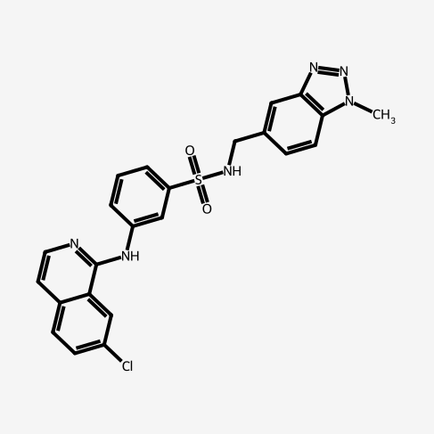 Cn1nnc2cc(CNS(=O)(=O)c3cccc(Nc4nccc5ccc(Cl)cc45)c3)ccc21